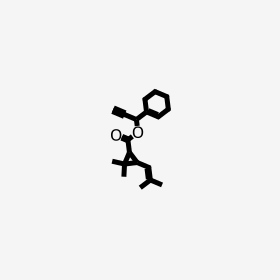 C#CC(OC(=O)C1C(C=C(C)C)C1(C)C)C1=CCCCC1